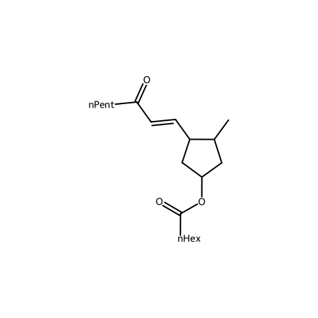 CCCCCCC(=O)OC1CC(C)C(C=CC(=O)CCCCC)C1